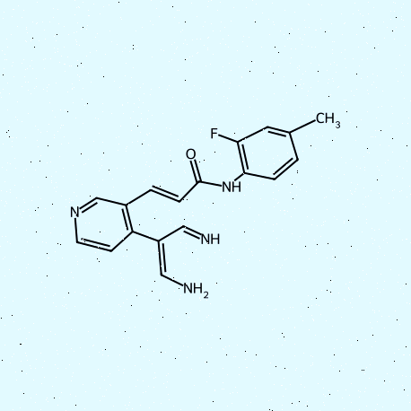 Cc1ccc(NC(=O)/C=C/c2cnccc2/C(C=N)=C/N)c(F)c1